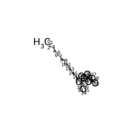 CCCCCCCC/C=C/CCCCCCCC(=O)O[C@H](C(=O)ON1C(=O)CCC1=O)c1ccccc1